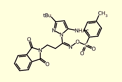 CC(=O)Nc1cc(C(C)(C)C)nn1C(CCN1C(=O)c2ccccc2C1=O)=NOS(=O)(=O)c1ccc(C)cc1